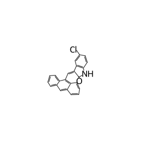 O=C1Nc2ccc(Cl)cc2/C1=C/c1c2ccccc2cc2ccccc12